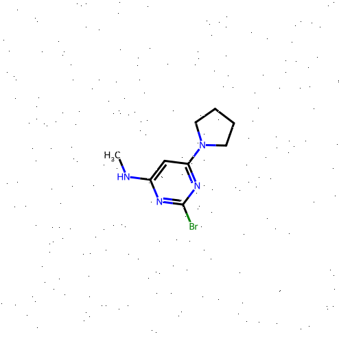 CNc1cc(N2CCCC2)nc(Br)n1